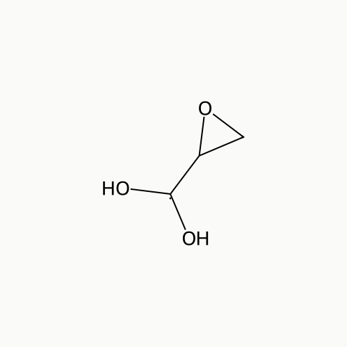 O[C](O)C1CO1